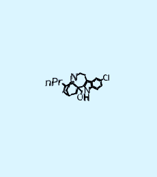 CCCC1CC2CN3CCc4c([nH]c5ccc(Cl)cc45)C(CO)(C2)C13